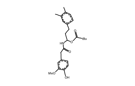 COc1cc(CC(=O)NC(CCc2ccc(C)c(C)c2)OC(=O)C(C)(C)C)ccc1O